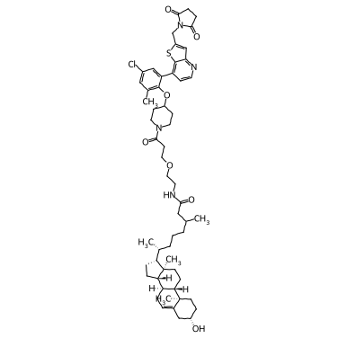 Cc1cc(Cl)cc(-c2ccnc3cc(CN4C(=O)CCC4=O)sc23)c1OC1CCN(C(=O)CCOCCNC(=O)CC(C)CCC[C@@H](C)[C@H]2CC[C@H]3[C@@H]4CC=C5C[C@@H](O)CC[C@]5(C)[C@H]4CC[C@]23C)CC1